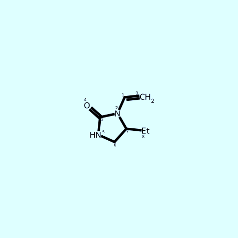 C=CN1C(=O)NCC1CC